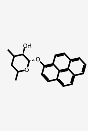 CC1CC(C)[C@@H](O)[C@H](Oc2ccc3ccc4cccc5ccc2c3c45)O1